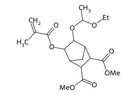 C=C(C)C(=O)OC1C2CC(C1OC(C)OCC)C(C(=O)OC)C2C(=O)OC